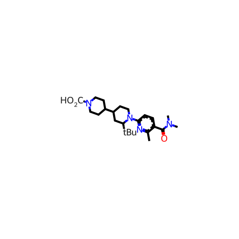 Cc1nc(N2CCC(C3CCN(C(=O)O)CC3)CC2C(C)(C)C)ccc1C(=O)N(C)C